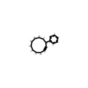 C1#CC(c2ccccc2)CCCCCCCC1